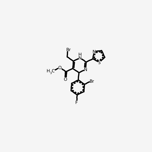 COC(=O)C1=C(CBr)NC(c2nccs2)=NC1c1ccc(F)cc1Br